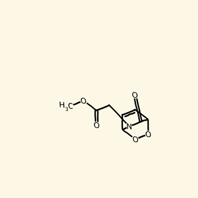 COC(=O)CN1C(=O)C2C=CC1OO2